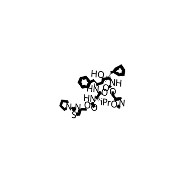 CC(C)[C@H](NC(=O)OCc1csc(N2CCCC2)n1)C(=O)N[C@@H](Cc1ccccc1)C[C@H](O)[C@H](Cc1ccccc1)NC(=O)OCc1cnco1